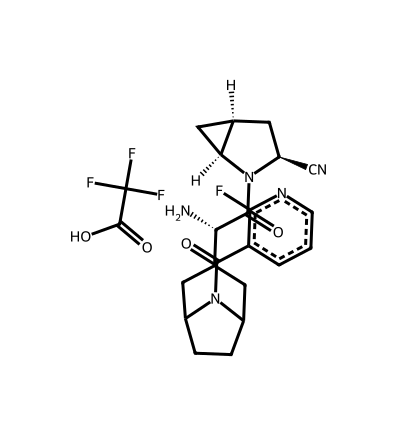 N#C[C@@H]1C[C@@H]2C[C@@H]2N1C(=O)[C@@H](N)C1CC2CCC(C1)N2C(=O)c1cccnc1F.O=C(O)C(F)(F)F